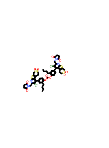 CCCCc1cc(-c2c(Cl)c(CN3C(=O)CCC3=O)nc3sc4c(c23)CCS(=O)(=O)C4)ccc1OC(=O)Oc1ccc(-c2c(Cl)c(CN3C(=O)CCC3=O)nc3sc4c(c23)CCS(=O)(=O)C4)cc1CCCC